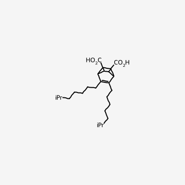 CC(C)CCCCCC1=C(CCCCCC(C)C)C2CCC1C(C(=O)O)C2C(=O)O